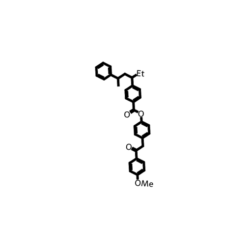 CCC(CC(C)c1ccccc1)c1ccc(C(=O)Oc2ccc(CC(=O)c3ccc(OC)cc3)cc2)cc1